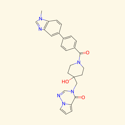 Cn1cnc2cc(-c3ccc(C(=O)N4CCC(O)(Cn5cnn6cccc6c5=O)CC4)cc3)ccc21